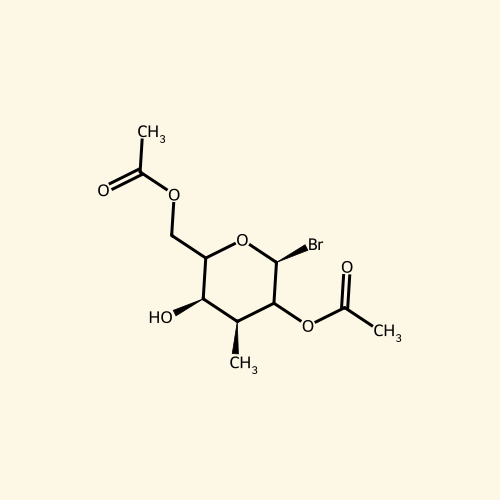 CC(=O)OCC1O[C@@H](Br)C(OC(C)=O)[C@@H](C)[C@H]1O